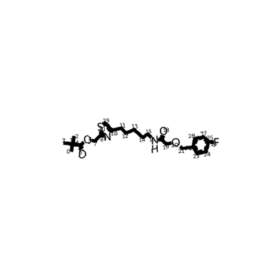 CC(C)(C)C(=O)OCc1nc(CCCCCNC(=O)COCc2ccc(F)cc2)cs1